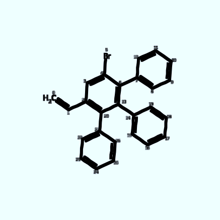 C=Cc1cc(Br)c(-c2ccccc2)c(-c2ccccc2)c1-c1ccccc1